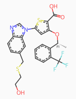 C[C@@H](Oc1cc(-n2cnc3ccc(CSCCO)cc32)sc1C(=O)O)c1ccccc1C(F)(F)F